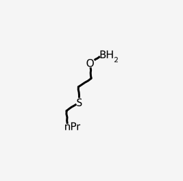 BOCCSCCCC